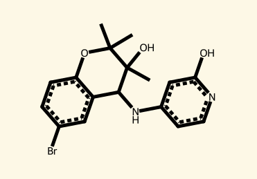 CC1(C)Oc2ccc(Br)cc2C(Nc2ccnc(O)c2)C1(C)O